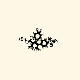 Cc1nc(C)c([C@H](OC(C)(C)C)C(=O)O)c(N2CCC(C)(C)CC2)c1-c1ccc(S(=O)(=O)C(C)C)cc1